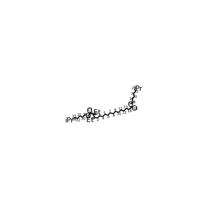 CCC(CCCCCCCCCCCCCC(=O)OCCCCCC(C)C)C(CC)C(=O)OCCCCCC(C)C